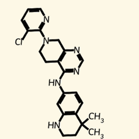 CC1(C)CCNc2cc(Nc3ncnc4c3CCN(c3ncccc3Cl)C4)ccc21